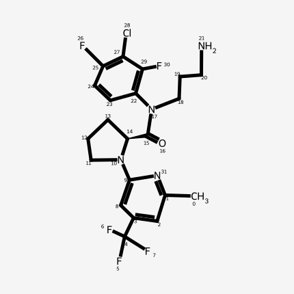 Cc1cc(C(F)(F)F)cc(N2CCC[C@H]2C(=O)N(CCCN)c2ccc(F)c(Cl)c2F)n1